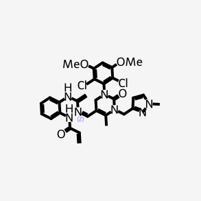 C=CC(=O)Nc1ccccc1NC(=C)/N=C\C1=C(C)N(Cc2ccn(C)n2)C(=O)N(c2c(Cl)c(OC)cc(OC)c2Cl)C1